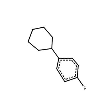 Fc1ccc(C2CC[CH]CC2)cc1